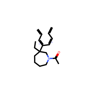 C=C/C=C\C(=C/C=C)C1(CC)CCCCN(C(C)=O)C1